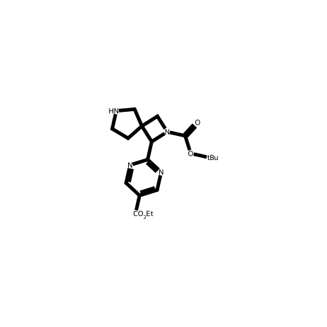 CCOC(=O)c1cnc(C2N(C(=O)OC(C)(C)C)CC23CCNC3)nc1